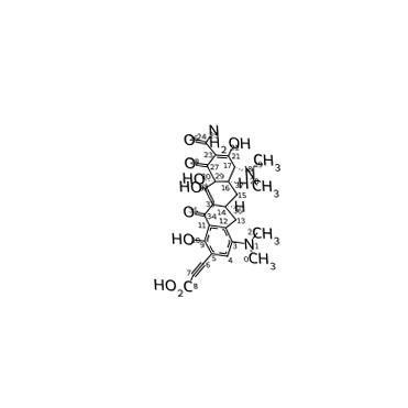 CN(C)c1cc(C#CC(=O)O)c(O)c2c1C[C@@H]1C[C@@H]3[C@@H](N(C)C)C(O)=C(C(N)=O)C(=O)[C@]3(O)C(O)=C1C2=O